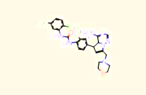 Cc1ccc(F)c(NC(=O)Nc2ccc(C3C=C(CN4CCOCC4)N4N=CN=C(N)C34)cc2C)c1